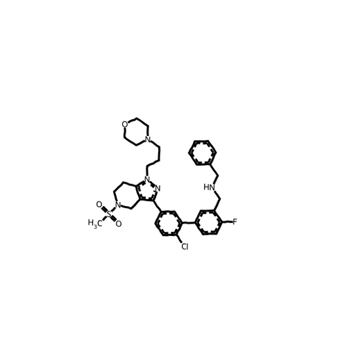 CS(=O)(=O)N1CCc2c(c(-c3ccc(Cl)c(-c4ccc(F)c(CNCc5ccccc5)c4)c3)nn2CCCN2CCOCC2)C1